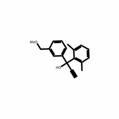 C#CC(O)(c1cccc(COC)c1)c1c(C)cccc1C